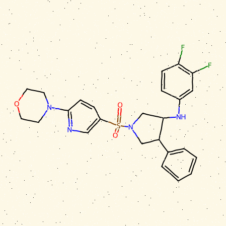 O=S(=O)(c1ccc(N2CCOCC2)nc1)N1CC(Nc2ccc(F)c(F)c2)C(c2ccccc2)C1